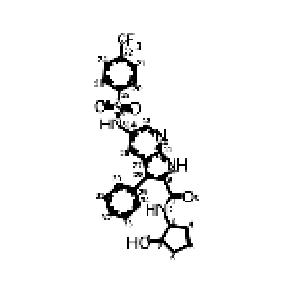 O=C(NC1CCCC1O)c1[nH]c2ncc(NS(=O)(=O)c3ccc(C(F)(F)F)cc3)cc2c1-c1ccccc1